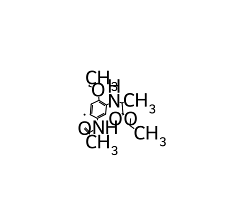 CCOC(=O)C(C)Nc1cc(NC(C)=O)[c]cc1OCC